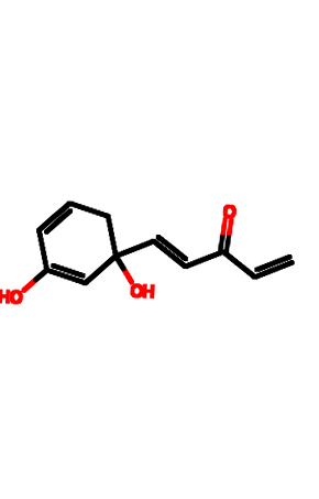 C=CC(=O)C=CC1(O)C=C(O)C=CC1